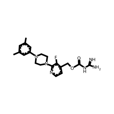 Cc1cc(C)cc(N2CCN(c3nccc(COC(=O)NC(=N)N)c3F)CC2)c1